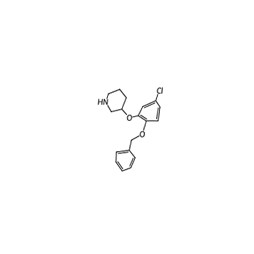 Clc1ccc(OCc2ccccc2)c(OC2CCCNC2)c1